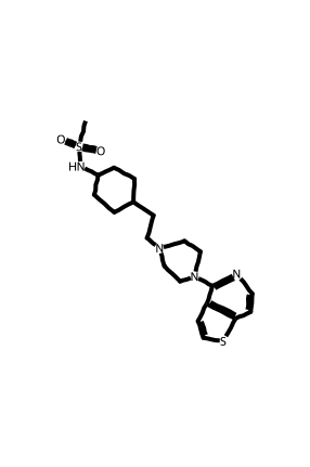 CS(=O)(=O)NC1CCC(CCN2CCN(c3nccc4sccc34)CC2)CC1